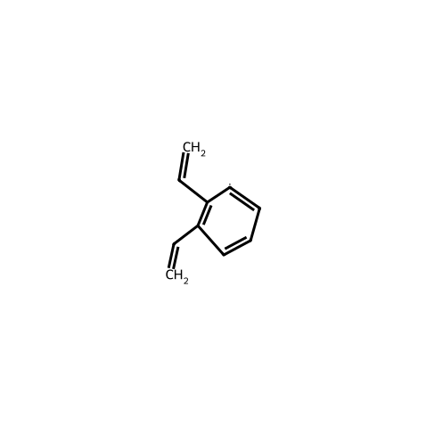 C=Cc1[c]cccc1C=C